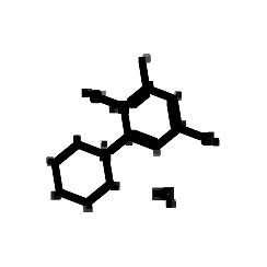 Cc1cc(Cl)cc(N2CCCCC2)[n+]1[O-].Cl